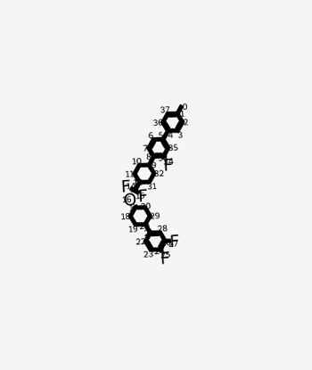 Cc1ccc(-c2ccc(C3CCC(C(F)(F)OC4CCC(c5ccc(F)c(F)c5)CC4)CC3)c(F)c2)cc1